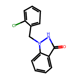 O=c1[nH]n(Cc2ccccc2Cl)c2ccccc12